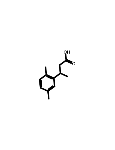 Cc1ccc(C)c(C(C)CC(=O)O)c1